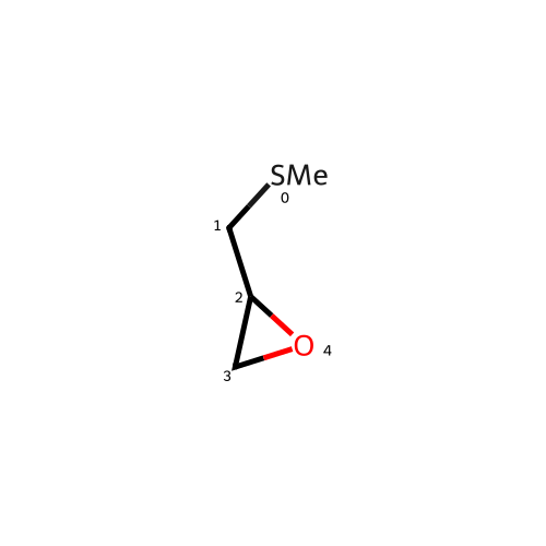 CSCC1CO1